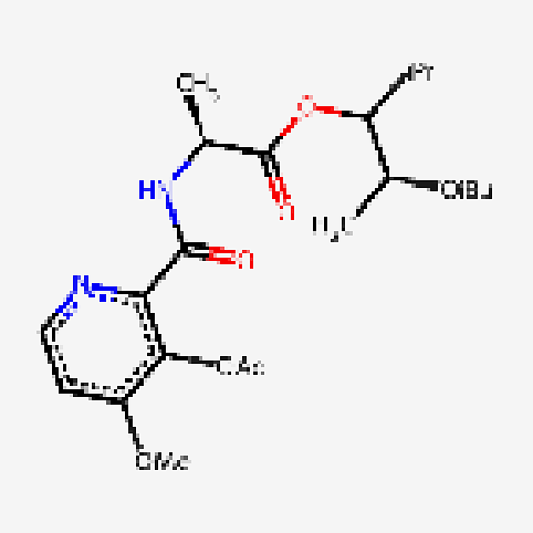 COc1ccnc(C(=O)N[C@@H](C)C(=O)OC(C(C)C)[C@H](C)OCC(C)C)c1OC(C)=O